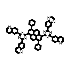 c1ccc(-c2cc(-c3nc(-c4ccc5ncccc5c4)nc(-c4ccc5ncccc5c4)n3)c3ccc4c(-c5ccccc5)cc(-c5nc(-c6ccc7ncccc7c6)nc(-c6ccc7nccnc7c6)n5)c5ccc2c3c45)cc1